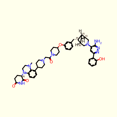 CN1CCN([C@@H]2CCC(=O)NC2=O)c2cccc(C3CCN(CC(=O)N4CCC(Oc5cccc(C[C@@H]6[C@H]7C8[C@H]7CN(c7cc(-c9ccccc9O)nnc7N)C[C@@H]86)c5)CC4)CC3)c21